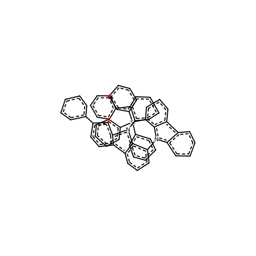 c1ccc(-c2ccc3c4cccc(-n5c6ccccc6c6cccc([Si](c7ccccc7)(c7ccccc7)c7ccccc7)c65)c4n(-c4ccccc4-c4ccccc4)c3c2)cc1